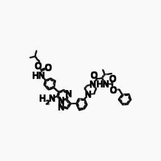 CC(C)COC(=O)Nc1ccc(-c2cnc3c(-c4cccc(N5CCN(C(=O)C(NC(=O)OCc6ccccc6)C(C)C)CC5)c4)cnn3c2N)cc1